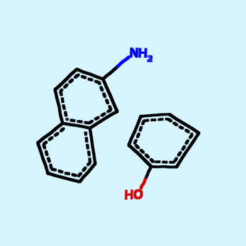 Nc1ccc2ccccc2c1.Oc1ccccc1